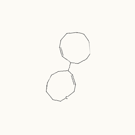 C1=CC(C2C=CCCCCCCCC2)CCCCCCCC1